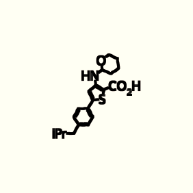 CC(C)Cc1ccc(-c2cc(NC3CCCCO3)c(C(=O)O)s2)cc1